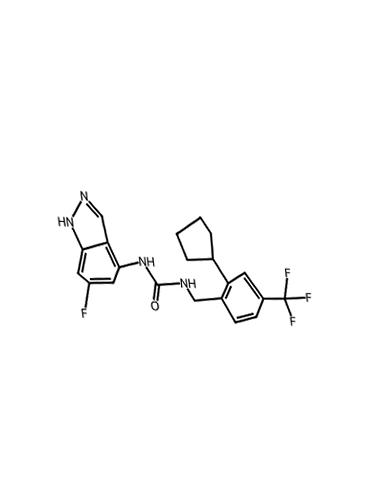 O=C(NCc1ccc(C(F)(F)F)cc1C1CCCC1)Nc1cc(F)cc2[nH]ncc12